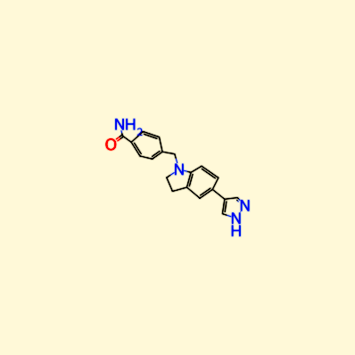 NC(=O)c1ccc(CN2CCc3cc(-c4cn[nH]c4)ccc32)cc1